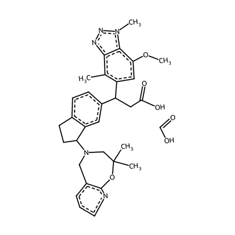 COc1cc(C(CC(=O)O)c2ccc3c(c2)C(N2Cc4cccnc4OC(C)(C)C2)CC3)c(C)c2nnn(C)c12.O=CO